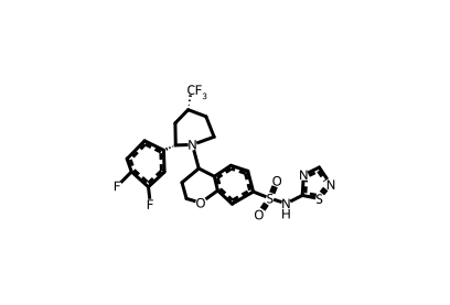 O=S(=O)(Nc1ncns1)c1ccc2c(c1)OCCC2N1CC[C@@H](C(F)(F)F)C[C@H]1c1ccc(F)c(F)c1